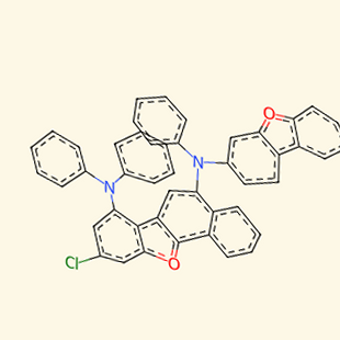 Clc1cc(N(c2ccccc2)c2ccccc2)c2c(c1)oc1c3ccccc3c(N(c3ccccc3)c3ccc4c(c3)oc3ccccc34)cc12